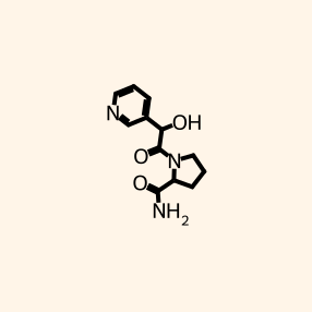 NC(=O)C1CCCN1C(=O)C(O)c1cccnc1